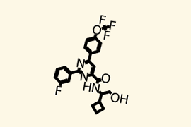 O=C(NC(CO)C1CCC1)c1cc(-c2ccc(OC(F)(F)F)cc2)nc(-c2cccc(F)c2)n1